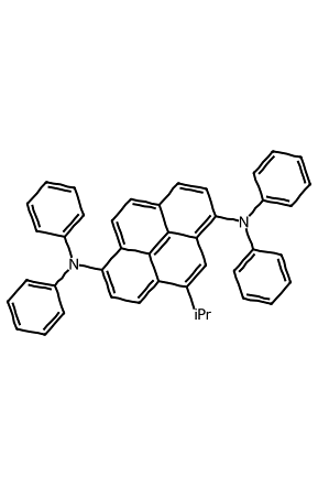 CC(C)c1cc2c(N(c3ccccc3)c3ccccc3)ccc3ccc4c(N(c5ccccc5)c5ccccc5)ccc1c4c32